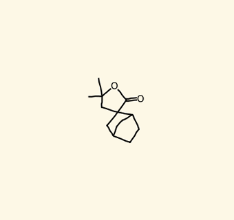 CC1(C)CC2(CC3CCC2CC3)C(=O)O1